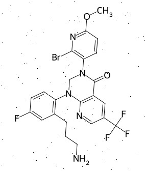 COc1ccc(N2CN(c3ccc(F)cc3CCCN)c3ncc(C(F)(F)F)cc3C2=O)c(Br)n1